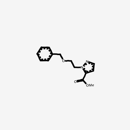 COC(=O)c1ccnn1CCOCc1ccccc1